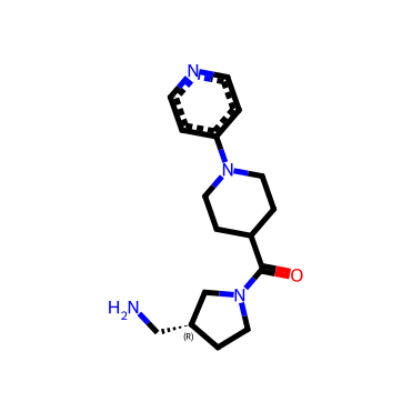 NC[C@H]1CCN(C(=O)C2CCN(c3ccncc3)CC2)C1